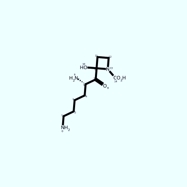 NCCCC[C@H](N)C(=O)C1(O)CCN1C(=O)O